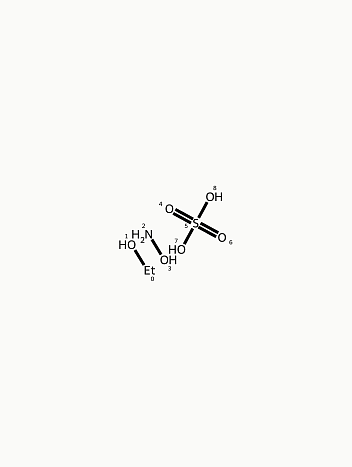 CCO.NO.O=S(=O)(O)O